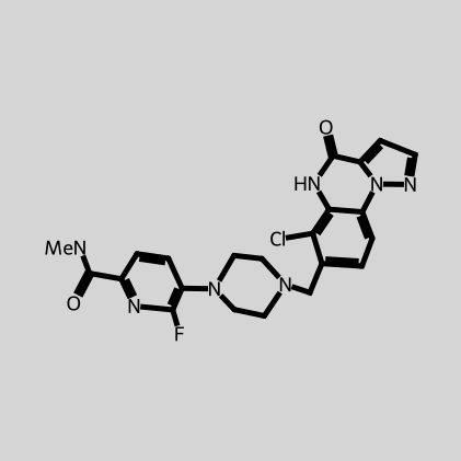 CNC(=O)c1ccc(N2CCN(Cc3ccc4c([nH]c(=O)c5ccnn54)c3Cl)CC2)c(F)n1